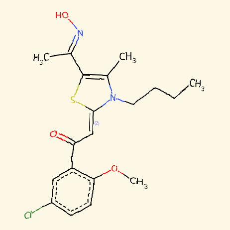 CCCCN1C(C)=C(C(C)=NO)S/C1=C\C(=O)c1cc(Cl)ccc1OC